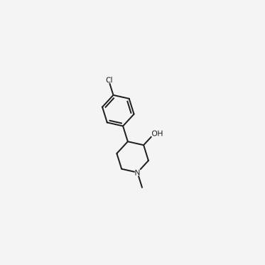 CN1CCC(c2ccc(Cl)cc2)C(O)C1